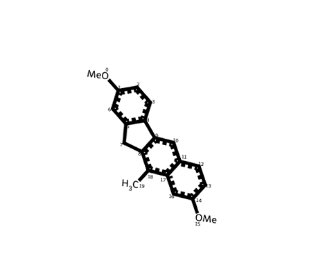 COc1ccc2c(c1)Cc1c-2cc2ccc(OC)cc2c1C